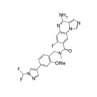 COc1cc(-c2cnn(C(F)F)c2)ccc1CN(C)C(=O)c1cc2c(cc1F)nc(N)c1cncn12